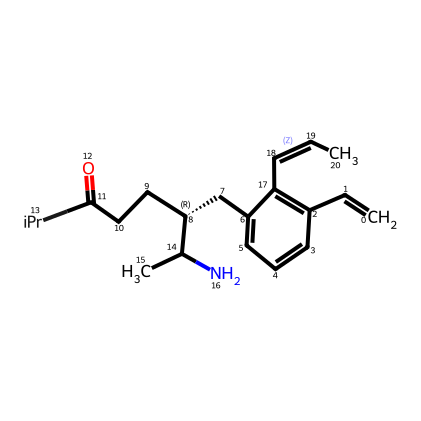 C=Cc1cccc(C[C@@H](CCC(=O)C(C)C)C(C)N)c1/C=C\C